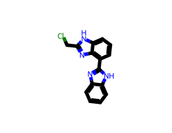 ClCc1nc2c(-c3nc4ccccc4[nH]3)cccc2[nH]1